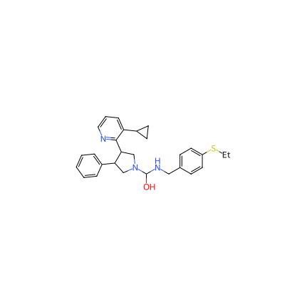 CCSc1ccc(CNC(O)N2CC(c3ccccc3)C(c3ncccc3C3CC3)C2)cc1